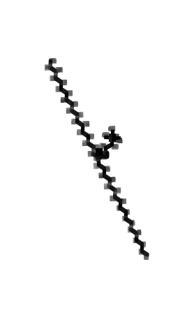 CCCCCCCCCCCCCCCCCC[PH-](CCCCCCCCCCCCCCCCCC)OCC[N+](C)(C)C